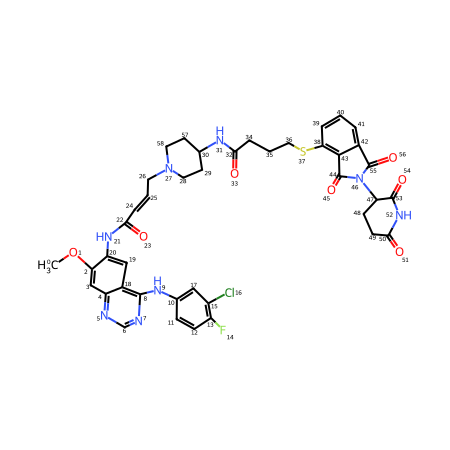 COc1cc2ncnc(Nc3ccc(F)c(Cl)c3)c2cc1NC(=O)/C=C/CN1CCC(NC(=O)CCCSc2cccc3c2C(=O)N(C2CCC(=O)NC2=O)C3=O)CC1